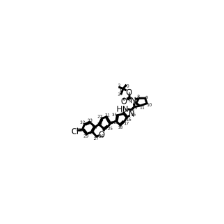 CC(C)(C)OC(=O)N1C2CCC(C2)C1c1nc2ccc(-c3ccc4c(c3)OCc3cc(Cl)ccc3-4)cc2[nH]1